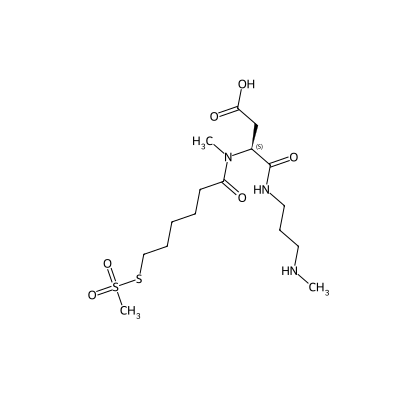 CNCCCNC(=O)[C@H](CC(=O)O)N(C)C(=O)CCCCCSS(C)(=O)=O